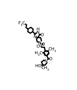 Cc1cc(C(=O)N2CCC(C)(O)CC2)cc(C)c1CCS(=O)(=O)N1CCC2(CC1)N=C(C1CCC(CCC(F)(F)F)CC1)NC2=O